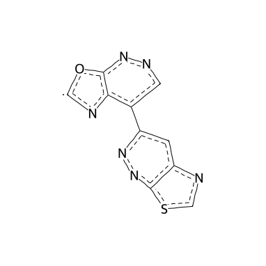 [c]1nc2c(-c3cc4ncsc4nn3)cnnc2o1